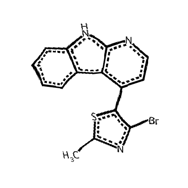 Cc1nc(Br)c(-c2ccnc3[nH]c4ccccc4c23)s1